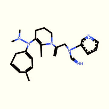 C=C(CN(C=N)c1cccnc1)N1CCCC(N(C2=CC=C(C)C=CC2)N(C)C)=C1C